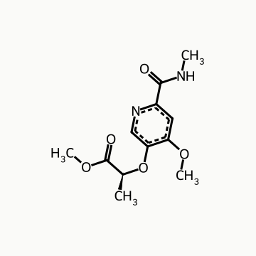 CNC(=O)c1cc(OC)c(O[C@@H](C)C(=O)OC)cn1